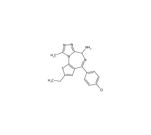 CCc1cc2c(s1)-n1c(C)nnc1C(N)N=C2c1ccc(Cl)cc1